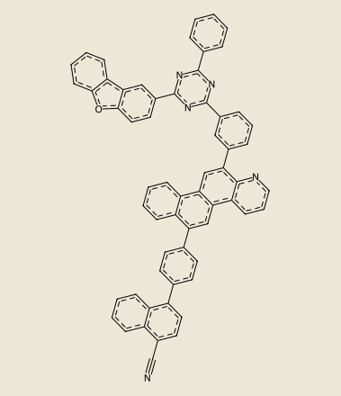 N#Cc1ccc(-c2ccc(-c3cc4c5cccnc5c(-c5cccc(-c6nc(-c7ccccc7)nc(-c7ccc8oc9ccccc9c8c7)n6)c5)cc4c4ccccc34)cc2)c2ccccc12